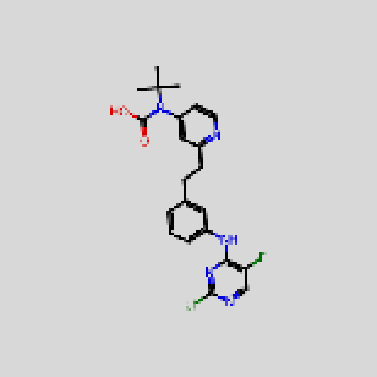 CC(C)(C)N(C(=O)O)c1ccnc(CCc2cccc(Nc3nc(Cl)ncc3F)c2)c1